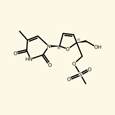 Cc1cn([C@H]2C=C[C@](CO)(COS(C)(=O)=O)O2)c(=O)[nH]c1=O